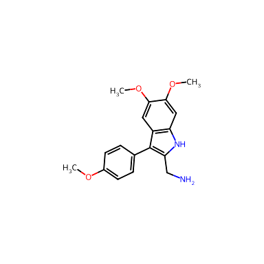 COc1ccc(-c2c(CN)[nH]c3cc(OC)c(OC)cc23)cc1